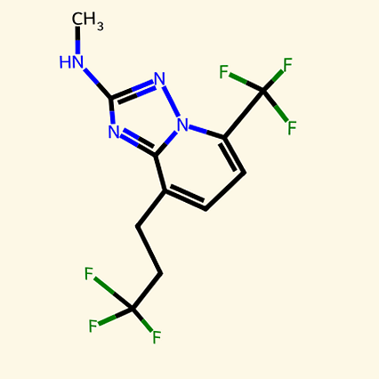 CNc1nc2c(CCC(F)(F)F)ccc(C(F)(F)F)n2n1